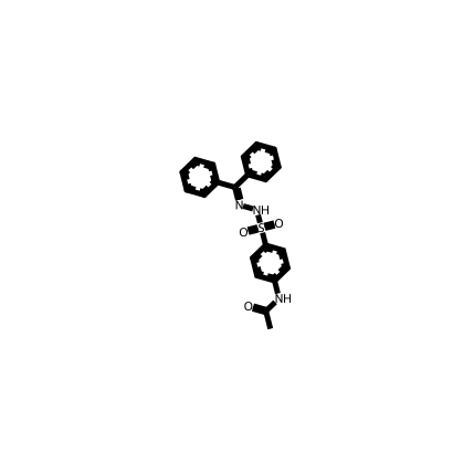 CC(=O)Nc1ccc(S(=O)(=O)NN=C(c2ccccc2)c2ccccc2)cc1